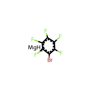 Fc1c(F)c(F)c(Br)c(F)c1F.[MgH2]